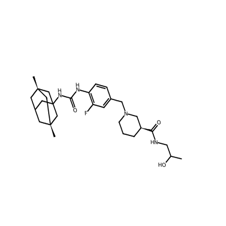 CC(O)CNC(=O)[C@H]1CCCN(Cc2ccc(NC(=O)NC34CC5C[C@@](C)(C3)C[C@](C)(C5)C4)c(F)c2)C1